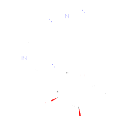 C[C@H]1O[C@@H](n2cc(N=[N+]=[N-])c(=O)[nH]c2=O)[C@H](O)[C@@H]1O